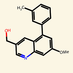 COc1cc(-c2cccc(C)c2)c2cc(CO)cnc2c1